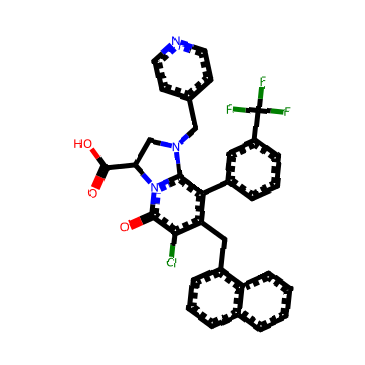 O=C(O)C1CN(Cc2ccncc2)c2c(-c3cccc(C(F)(F)F)c3)c(Cc3cccc4ccccc34)c(Cl)c(=O)n21